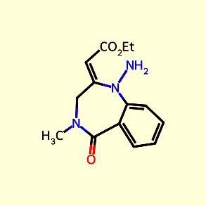 CCOC(=O)C=C1CN(C)C(=O)c2ccccc2N1N